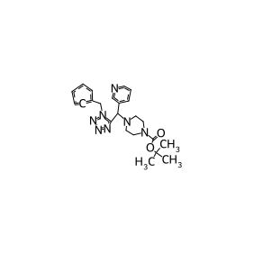 CC(C)(C)OC(=O)N1CCN(C(c2cccnc2)c2nnnn2Cc2ccccc2)CC1